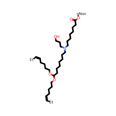 CC/C=C\CCCCOC(CCCCCCCN(CCCO)CCCCCCCC(=O)OCCCCCCCCC)OCCCC/C=C\CC